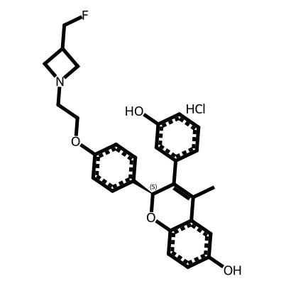 CC1=C(c2cccc(O)c2)[C@H](c2ccc(OCCN3CC(CF)C3)cc2)Oc2ccc(O)cc21.Cl